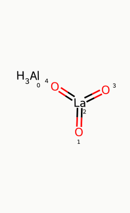 [AlH3].[O]=[La](=[O])=[O]